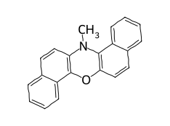 CN1c2ccc3ccccc3c2Oc2ccc3ccccc3c21